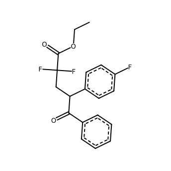 CCOC(=O)C(F)(F)CC(C(=O)c1ccccc1)c1ccc(F)cc1